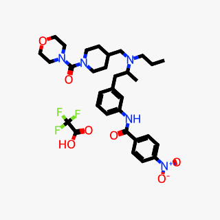 CCCN(CC1CCN(C(=O)N2CCOCC2)CC1)C(C)Cc1cccc(NC(=O)c2ccc([N+](=O)[O-])cc2)c1.O=C(O)C(F)(F)F